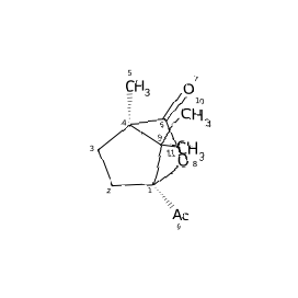 CC(=O)[C@@]12CC[C@@](C)(C(=O)O1)C2(C)C